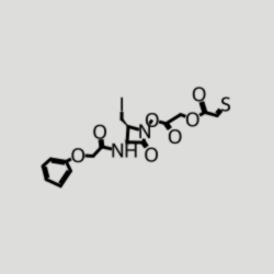 O=C(COc1ccccc1)N[C@@H]1C(=O)N(OC(=O)COC(=O)C=S)[C@@H]1CI